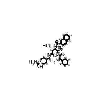 Cl.N=C(N)N1CCC(CNC(=O)CC(NS(=O)(=O)c2ccc3ccccc3c2)C(=O)OC(=O)C(N)C2CCCCC2)CC1